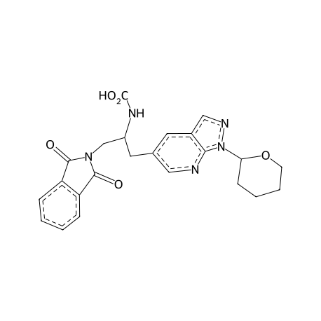 O=C(O)NC(Cc1cnc2c(cnn2C2CCCCO2)c1)CN1C(=O)c2ccccc2C1=O